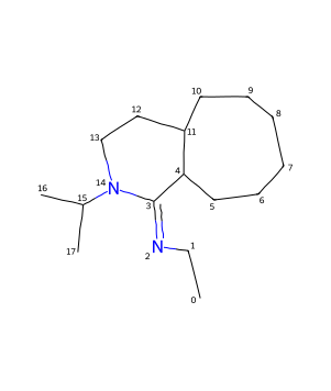 CC/N=C1\C2CCCCCCC2CCN1C(C)C